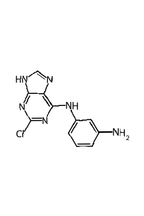 Nc1cccc(Nc2nc(Cl)nc3[nH]cnc23)c1